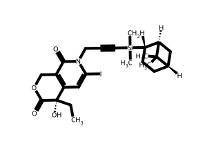 CC[C@@]1(O)C(=O)OCc2c1cc(I)n(CC#C[Si](C)(C)[C@H]1CC[C@H]3C[C@H]1C3(C)C)c2=O